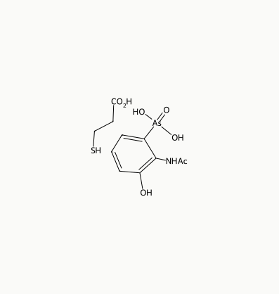 CC(=O)Nc1c(O)cccc1[As](=O)(O)O.O=C(O)CCS